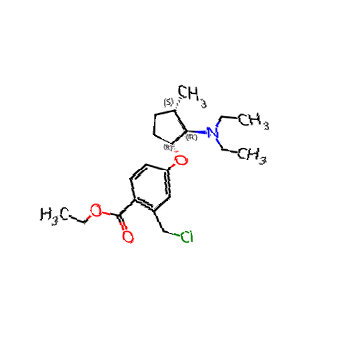 CCOC(=O)c1ccc(O[C@@H]2CC[C@H](C)[C@H]2N(CC)CC)cc1CCl